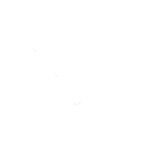 CNc1ccc2c(c1)N(C)c1cc(NC)ccc1C2c1ccc(OC)cc1